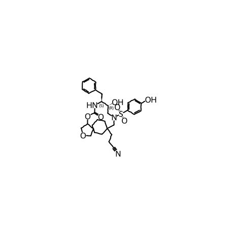 N#CCCC1(CN(C[C@@H](O)[C@H](Cc2ccccc2)NC(=O)OC2CCOC2)S(=O)(=O)c2ccc(O)cc2)CCCCC1